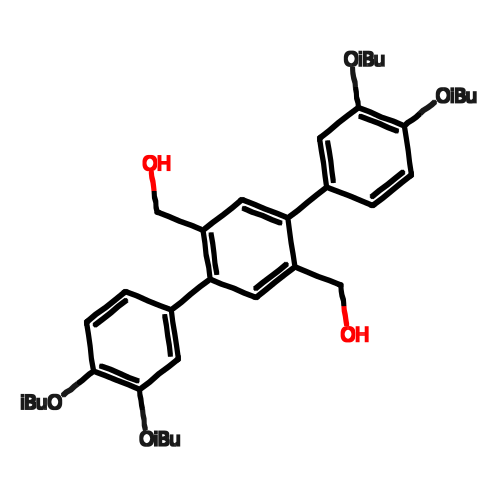 CC(C)COc1ccc(-c2cc(CO)c(-c3ccc(OCC(C)C)c(OCC(C)C)c3)cc2CO)cc1OCC(C)C